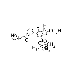 CC1(C)OB(c2cc(C3=CCCN(C(=O)CCn4ccnn4)C3)c(F)c3[nH]c(C(=O)O)cc23)OC1(C)C